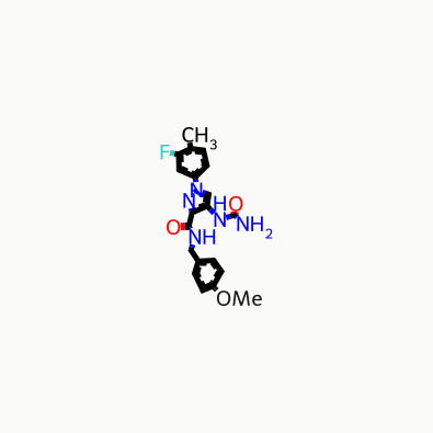 COc1ccc(CNC(=O)c2nn(-c3ccc(C)c(F)c3)cc2NC(N)=O)cc1